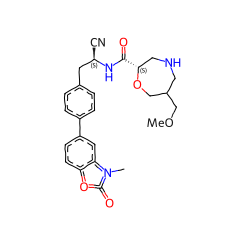 COCC1CNC[C@@H](C(=O)N[C@H](C#N)Cc2ccc(-c3ccc4oc(=O)n(C)c4c3)cc2)OC1